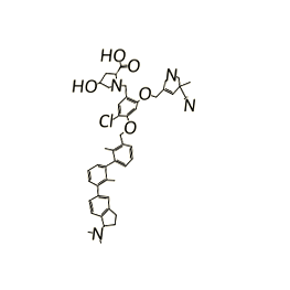 Cc1c(COc2cc(OCC3=CC(C)(C#N)CN=C3)c(CN3C[C@@H](O)C[C@H]3C(=O)O)cc2Cl)cccc1-c1cccc(-c2ccc3c(c2)CC[C@H]3N(C)C)c1C